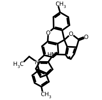 CCN(c1ccc(C)cc1)c1ccc2c(c1)Oc1cc(C)ccc1C21OC(=O)c2cccc(Nc3ccccc3)c21